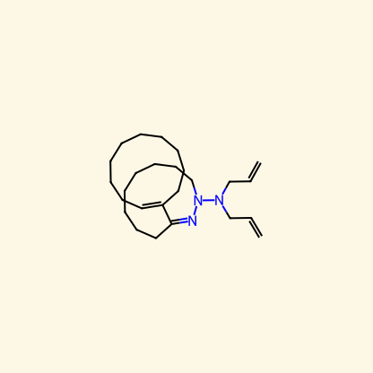 C=CCN(CC=C)N1CCCCCCCCC(/C2=C/CCCCCCCCC2)=N/1